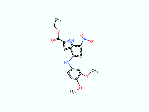 CCOC(=O)c1cc2c(Nc3ccc(OC)c(OC)c3)ccc([N+](=O)[O-])c2[nH]1